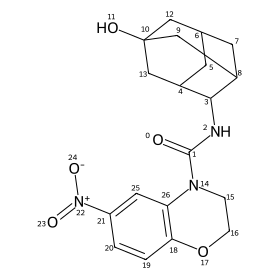 O=C(NC1C2CC3CC1CC(O)(C3)C2)N1CCOc2ccc([N+](=O)[O-])cc21